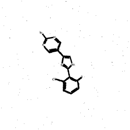 Fc1cccc(Cl)c1-c1nc(-c2cnc(Br)nc2)c[nH]1